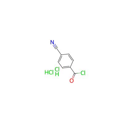 Cl.Cl.N#Cc1ccc(C(=O)Cl)cc1